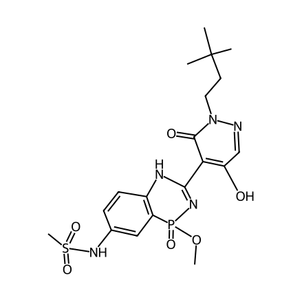 COP1(=O)N=C(c2c(O)cnn(CCC(C)(C)C)c2=O)Nc2ccc(NS(C)(=O)=O)cc21